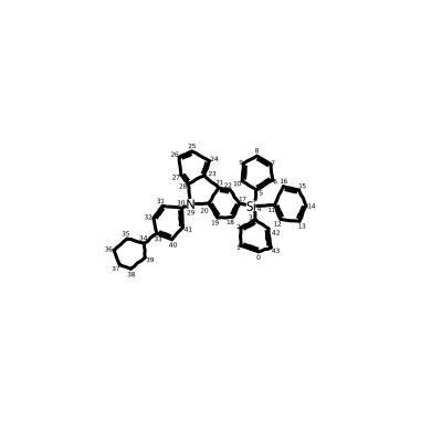 c1ccc([Si](c2ccccc2)(c2ccccc2)c2ccc3c(c2)c2ccccc2n3-c2ccc(C3CCCCC3)cc2)cc1